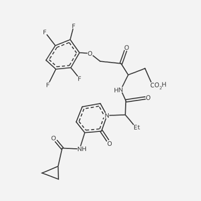 CCC(C(=O)NC(CC(=O)O)C(=O)COc1c(F)c(F)cc(F)c1F)n1cccc(NC(=O)C2CC2)c1=O